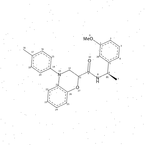 COc1cccc([C@@H](C)NC(=O)C2CN(c3ccc(C)cc3)c3ccccc3O2)c1